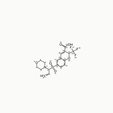 C=CC(N1CCOCC1)S(=O)(=O)c1ccc2c(c1)C=C(C(=O)O)C(C(F)(F)F)O2